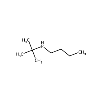 CCCCPC(C)(C)C